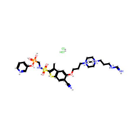 Cc1c(S(=O)(=O)NCP(=O)([O-])Oc2cccnc2)sc2cc(C#N)c(OCCC[N+]34CC[N+](CCCNC=N)(CC3)CC4)cc12.Cl.[Cl-]